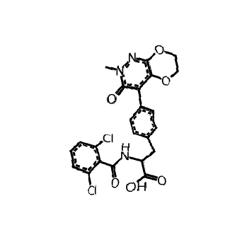 Cn1nc2c(c(-c3ccc(CC(NC(=O)c4c(Cl)cccc4Cl)C(=O)O)cc3)c1=O)OCCO2